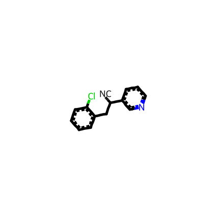 N#CC(Cc1ccccc1Cl)c1cccnc1